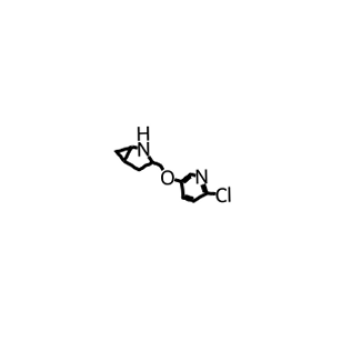 Clc1ccc(OCC2CC3CC3N2)cn1